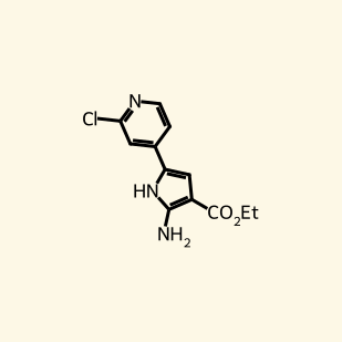 CCOC(=O)c1cc(-c2ccnc(Cl)c2)[nH]c1N